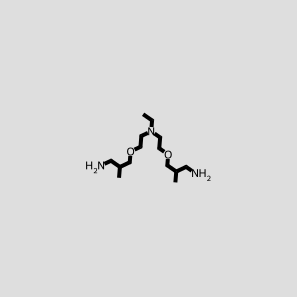 CCN(CCOCC(C)CN)CCOCC(C)CN